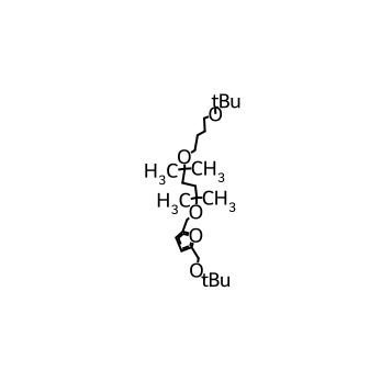 CC(C)(C)OCCCCOC(C)(C)CCC(C)(C)OCc1ccc(COC(C)(C)C)o1